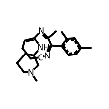 CC1=N/C(NC2CCCN(C)C2)=C/CCC/N=C\1c1ccc(C)cc1C